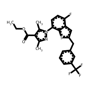 CCOC(=O)c1c(C)nn(-c2ccc(F)c3cc(Cc4cccc(C(F)(F)F)c4)sc23)c1C